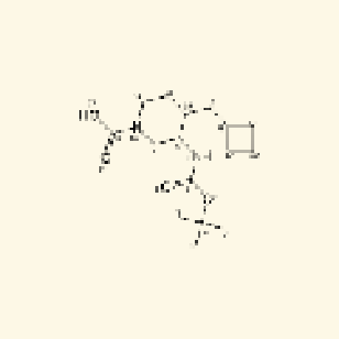 CC(C)(C)OC(=O)NC1CN(C(=O)O)CCC1CC1CCC1